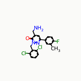 Cc1cc(-c2cc(CN)c(=O)n(Cc3c(Cl)cccc3Cl)n2)ccc1F